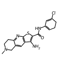 CN1CCc2nc3sc(C(=O)NC4=CCCC(Cl)=C4)c(N)c3cc2C1